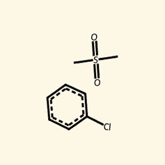 CS(C)(=O)=O.Clc1ccccc1